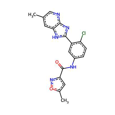 Cc1cnc2nc(-c3cc(NC(=O)c4cc(C)on4)ccc3Cl)[nH]c2c1